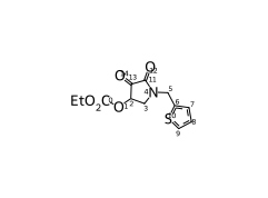 CCOC(=O)OC1CN(Cc2cccs2)C(=O)C1=O